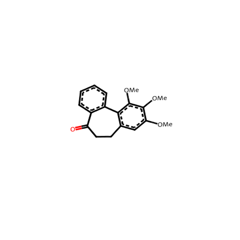 COc1cc2c(c(OC)c1OC)-c1ccccc1C(=O)CC2